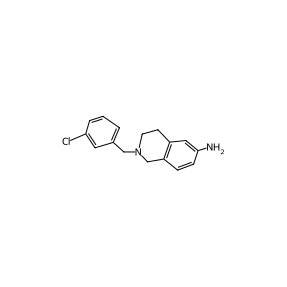 Nc1ccc2c(c1)CCN(Cc1cccc(Cl)c1)C2